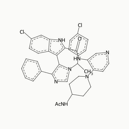 CC(=O)NC1CCN(c2ccncc2NC(=O)c2[nH]c3cc(Cl)ccc3c2-c2c(-c3ccccc3)ncn2C(C)c2ccc(Cl)cc2)CC1